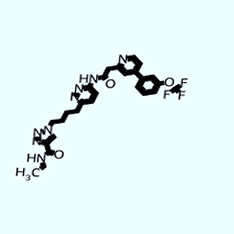 CCNC(=O)c1cn(CCCCc2ccc(NC(=O)Cc3cc(-c4cccc(OC(F)(F)F)c4)ccn3)nn2)nn1